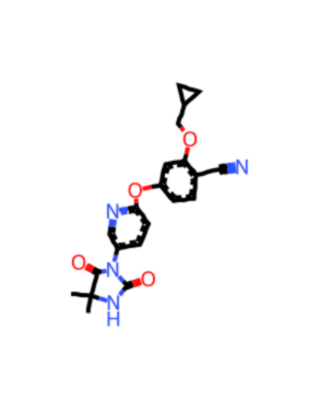 CC1(C)NC(=O)N(c2ccc(Oc3ccc(C#N)c(OCC4CC4)c3)nc2)C1=O